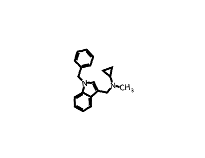 CN(Cc1cn(Cc2ccccc2)c2ccccc12)C1CC1